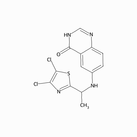 CC(Nc1ccc2nc[nH]c(=O)c2c1)c1nc(Cl)c(Cl)s1